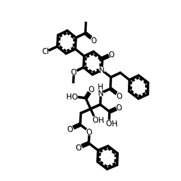 COc1cn(C(Cc2ccccc2)C(=O)NC(C(=O)O)C(O)(CC(=O)OC(=O)c2ccccc2)C(=O)O)c(=O)cc1-c1cc(Cl)ccc1C(C)=O